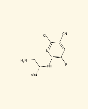 CCCC[C@H](CN)Nc1nc(Cl)c(C#N)cc1F